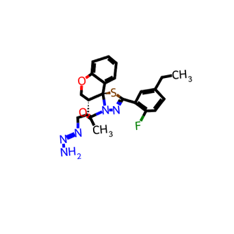 CCc1ccc(F)c(C2=NN(C(C)=O)[C@@]3(S2)c2ccccc2OC[C@H]3CCN=NN)c1